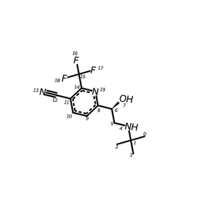 CC(C)(C)NC[C@H](O)c1ccc(C#N)c(C(F)(F)F)n1